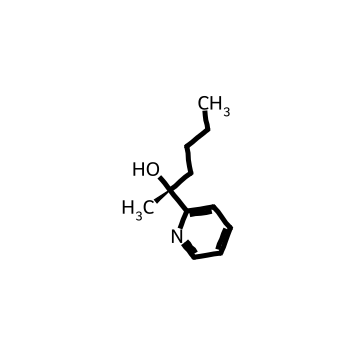 CCCC[C@@](C)(O)c1ccccn1